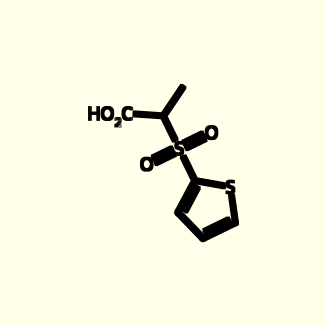 CC(C(=O)O)S(=O)(=O)c1cccs1